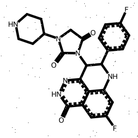 O=C1CN(C2CCNCC2)C(=O)N1C1c2n[nH]c(=O)c3cc(F)cc(c23)NC1c1ccc(F)cc1